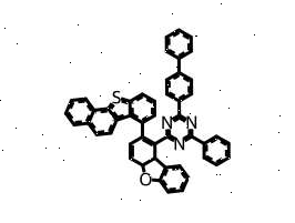 C1=CC2Oc3ccccc3C2C(c2nc(-c3ccccc3)nc(-c3ccc(-c4ccccc4)cc3)n2)=C1c1cccc2sc3c4ccccc4ccc3c12